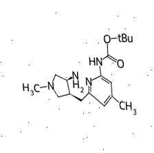 Cc1cc(C[C@H]2CN(C)C[C@H]2N)nc(NC(=O)OC(C)(C)C)c1